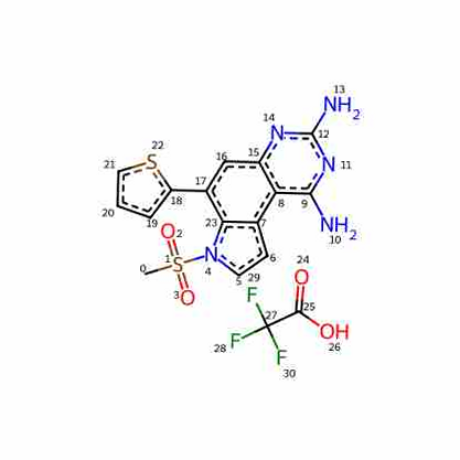 CS(=O)(=O)n1ccc2c3c(N)nc(N)nc3cc(-c3cccs3)c21.O=C(O)C(F)(F)F